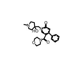 CN1CCC(O)(Cn2cc(C(=O)N3CCOCC3)c(-c3ccccc3)cc2=O)CC1